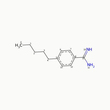 CCCCCc1ccc(C(=N)N)cc1